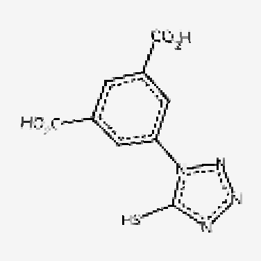 O=C(O)c1cc(C(=O)O)cc(-n2nnnc2S)c1